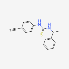 C#Cc1ccc(NC(=S)NC(C)c2ccccc2)cc1